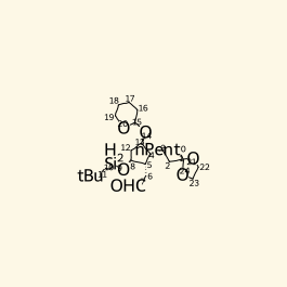 CCCCCC1(CC[C@@H]2[C@H](CC=O)[C@@H](O[SiH2]C(C)(C)C)C[C@H]2OC2CCCCO2)OCCO1